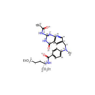 CCOC(=O)CC[C@H](NC(=O)c1ccc(N(Cc2cnc3nc(NC(=O)C(C)(C)C)[nH]c(=O)c3c2)C(C)=O)cc1)C(=O)OCC